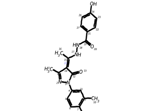 CC1=NN(c2ccc(C)c(C)c2)C(=O)/C1=C(/C)NNC(=O)c1ccc(O)cc1